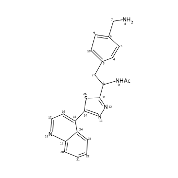 CC(=O)NC(Cc1ccc(CN)cc1)c1nnc(-c2ccnc3ccccc23)s1